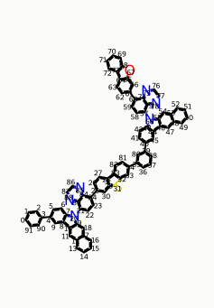 c1ccc(-c2ccc3c(c2)c2cc4ccccc4cc2n3-c2ccc(-c3ccc4c(c3)sc3cc(-c5cccc(-c6ccc7c(c6)c6cc8ccccc8cc6n7-c6ccc(-c7ccc8c(c7)oc7ccccc78)c7nccnc67)c5)ccc34)c3nccnc23)cc1